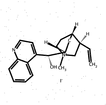 C=C[C@H]1C[N+]2(C)CC[C@H]1C[C@H]2[C@H](O)c1ccnc2ccccc12.[I-]